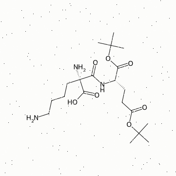 CC(C)(C)OC(=O)CC[C@H](NC(=O)[C@](N)(CCCCN)C(=O)O)C(=O)OC(C)(C)C